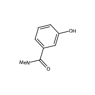 CNC(=O)c1c[c]cc(O)c1